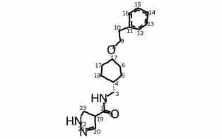 O=C(NC[C@H]1CC[C@@H](OCCc2ccccc2)CC1)C1C=NNC1